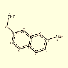 CSc1ccc2ccc(CC=O)cc2c1